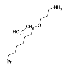 CC(=O)O.CC(C)CCCCCCCOCCCN